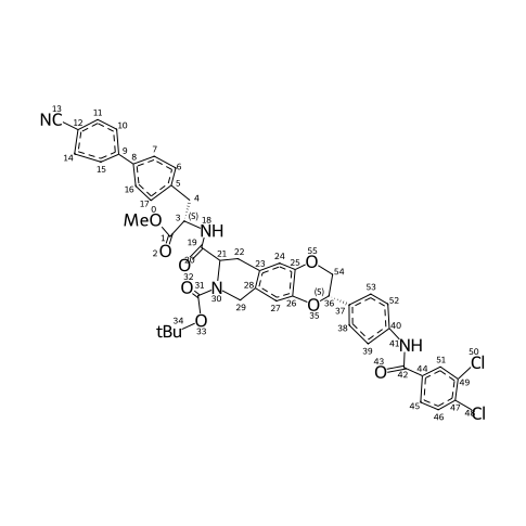 COC(=O)[C@H](Cc1ccc(-c2ccc(C#N)cc2)cc1)NC(=O)C1Cc2cc3c(cc2CN1C(=O)OC(C)(C)C)O[C@@H](c1ccc(NC(=O)c2ccc(Cl)c(Cl)c2)cc1)CO3